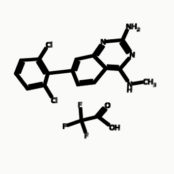 CNc1nc(N)nc2cc(-c3c(Cl)cccc3Cl)ccc12.O=C(O)C(F)(F)F